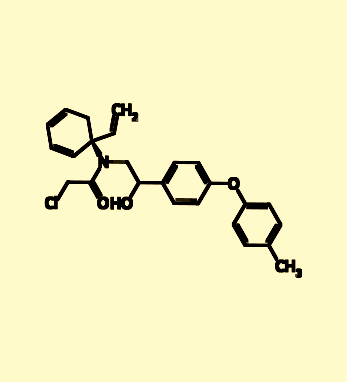 C=C[C@]1(N(CC(O)c2ccc(Oc3ccc(C)cc3)cc2)C(=O)CCl)C=CC=CC1